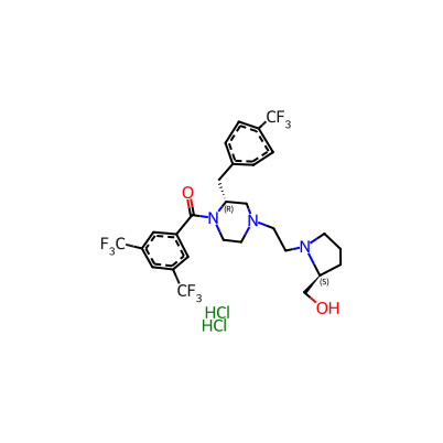 Cl.Cl.O=C(c1cc(C(F)(F)F)cc(C(F)(F)F)c1)N1CCN(CCN2CCC[C@H]2CO)C[C@H]1Cc1ccc(C(F)(F)F)cc1